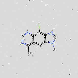 CC(C)c1ncnc2c(F)c3ncn(C)c3cc12